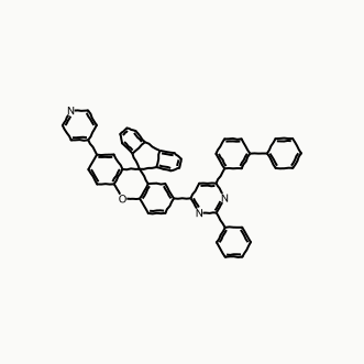 c1ccc(-c2cccc(-c3cc(-c4ccc5c(c4)C4(c6cc(-c7ccncc7)ccc6O5)c5ccccc5-c5ccccc54)nc(-c4ccccc4)n3)c2)cc1